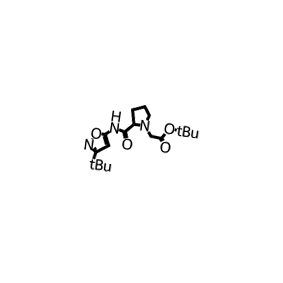 CC(C)(C)OC(=O)CN1CCCC1C(=O)Nc1cc(C(C)(C)C)no1